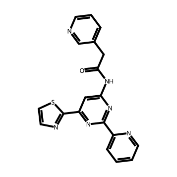 O=C(Cc1cccnc1)Nc1cc(-c2nccs2)nc(-c2ccccn2)n1